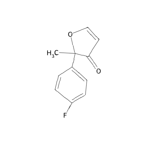 CC1(c2ccc(F)cc2)OC=CC1=O